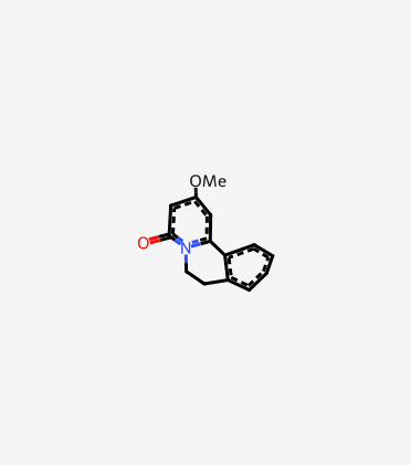 COc1cc2n(c(=O)c1)CCc1ccccc1-2